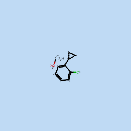 Clc1ccccc1C1CC1.O=C(O)O